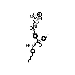 CCCCCc1ccc(C(O)CS[C@H]2C(=O)N(c3ccc(F)cc3)[C@@H]2c2ccc(OCC(=O)NCC(=O)C[C@@H](NC3CCCCC3)C(=O)O)cc2)cc1